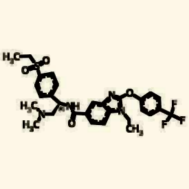 CCn1c(Oc2ccc(C(F)(F)F)cc2)nc2cc(C(=O)N[C@@H](CN(C)C)c3ccc(S(=O)(=O)CC)cc3)ccc21